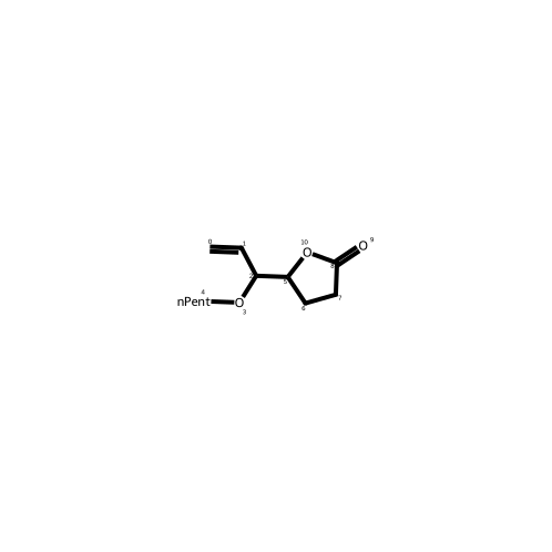 C=CC(OCCCCC)C1CCC(=O)O1